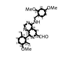 COc1ccc(CNc2ncnc3c(-c4c(C)ccc(OC)c4C)nc(C=O)cc23)c(OC)c1